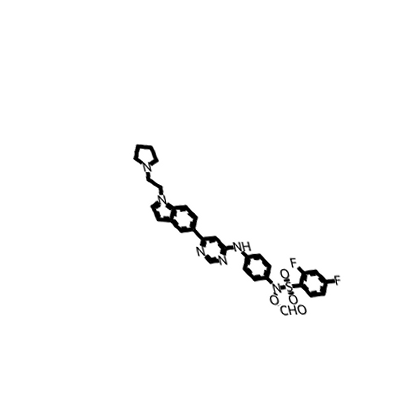 O=CON(c1ccc(Nc2cc(-c3ccc4c(ccn4CCN4CCCC4)c3)ncn2)cc1)S(=O)(=O)c1ccc(F)cc1F